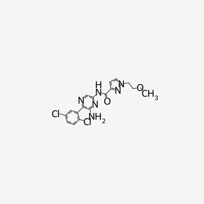 COCCn1ccc(C(=O)Nc2cnc(-c3cc(Cl)ccc3Cl)c(N)n2)n1